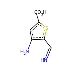 N=Cc1sc(C(=O)O)cc1N